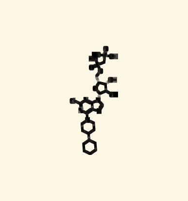 O=P(O)(O)CP(=O)(O)OC[C@H]1O[C@@H](n2cnc3c(N4CCC(C5CCCCC5)CC4)nc(Cl)nc32)C(O)[C@H]1O